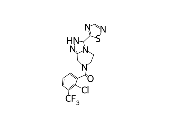 O=C(c1cccc(C(F)(F)F)c1Cl)N1CCN2C(=NNC2c2ncns2)C1